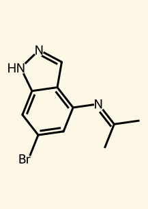 CC(C)=Nc1cc(Br)cc2[nH]ncc12